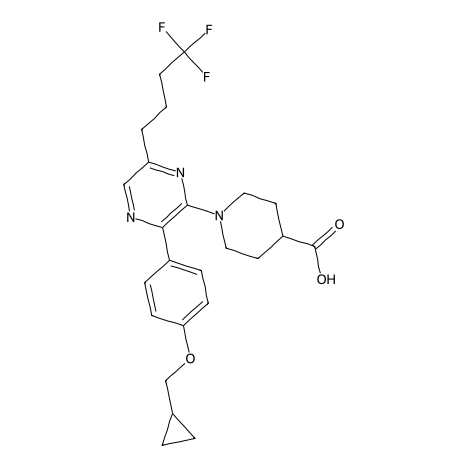 O=C(O)C1CCN(c2nc(CCCC(F)(F)F)cnc2-c2ccc(OCC3CC3)cc2)CC1